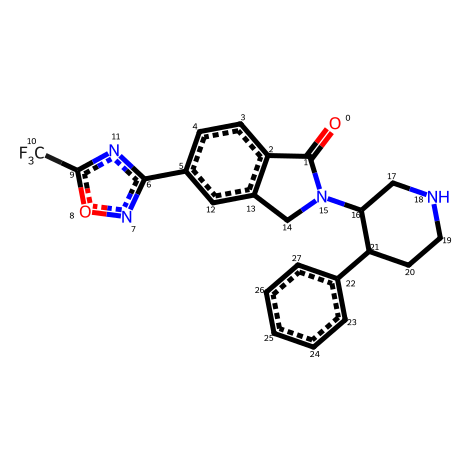 O=C1c2ccc(-c3noc(C(F)(F)F)n3)cc2CN1C1CNCCC1c1ccccc1